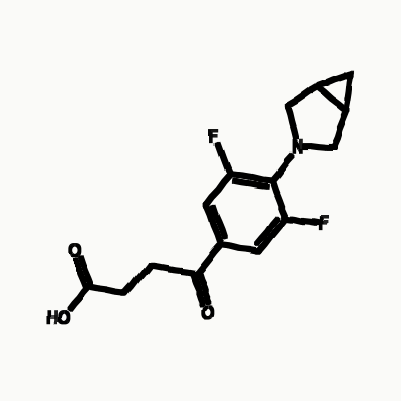 O=C(O)CCC(=O)c1cc(F)c(N2CC3CC3C2)c(F)c1